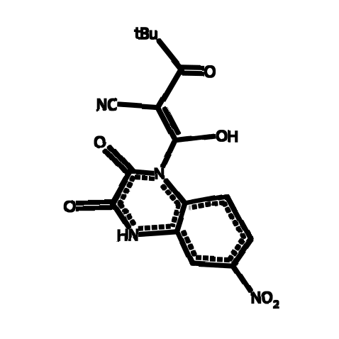 CC(C)(C)C(=O)C(C#N)=C(O)n1c(=O)c(=O)[nH]c2cc([N+](=O)[O-])ccc21